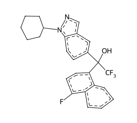 OC(c1ccc2c(cnn2C2CCCCC2)c1)(c1ccc(F)c2ccccc12)C(F)(F)F